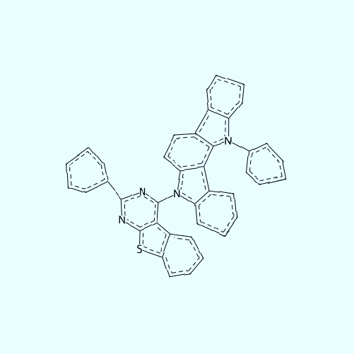 c1ccc(-c2nc(-n3c4ccccc4c4c3ccc3c5ccccc5n(-c5ccccc5)c34)c3c(n2)sc2ccccc23)cc1